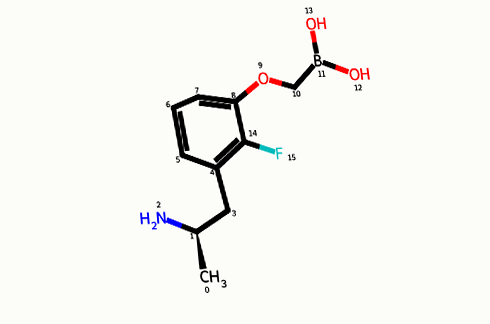 C[C@@H](N)Cc1cccc(OCB(O)O)c1F